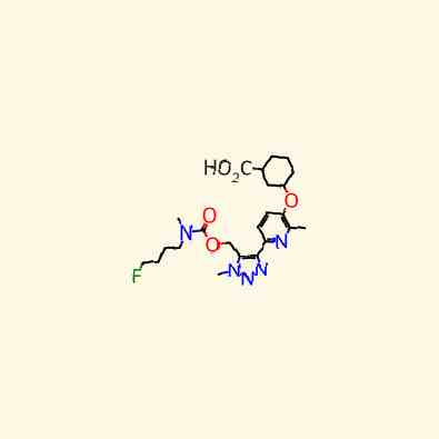 Cc1nc(-c2nnn(C)c2COC(=O)N(C)CCCCF)ccc1OC1CCCC(C(=O)O)C1